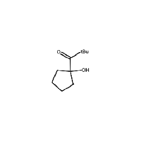 CC(C)(C)C(=O)C1(O)CCCC1